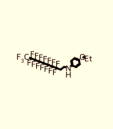 CCOc1ccc(NCCC(F)(F)C(F)(F)C(F)(F)C(F)(F)C(F)(F)C(F)(F)C(F)(F)C(F)(F)F)cc1